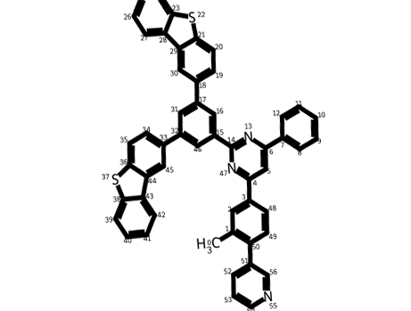 Cc1cc(-c2cc(-c3ccccc3)nc(-c3cc(-c4ccc5sc6ccccc6c5c4)cc(-c4ccc5sc6ccccc6c5c4)c3)n2)ccc1-c1cccnc1